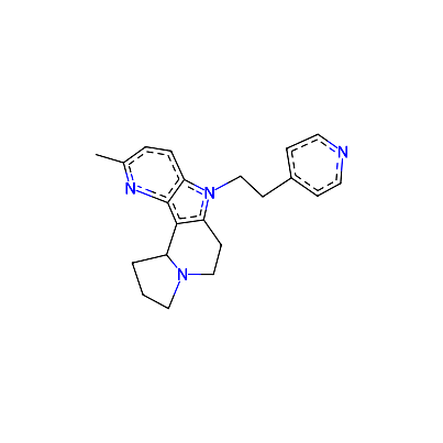 Cc1ccc2c(n1)c1c(n2CCc2ccncc2)CCN2CCCC12